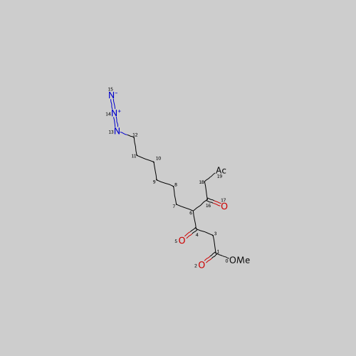 COC(=O)CC(=O)C(CCCCCCN=[N+]=[N-])C(=O)CC(C)=O